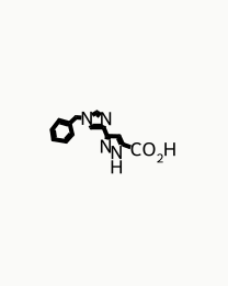 O=C(O)c1cc(-c2cn(Cc3ccccc3)cn2)n[nH]1